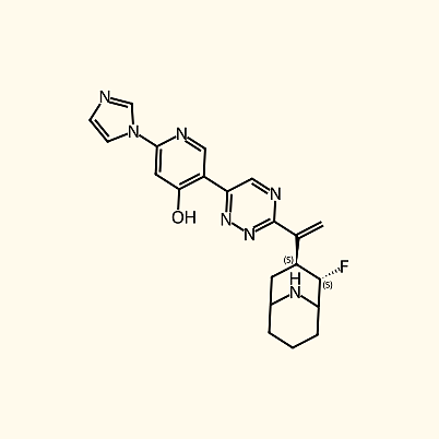 C=C(c1ncc(-c2cnc(-n3ccnc3)cc2O)nn1)[C@@H]1CC2CCCC(N2)[C@H]1F